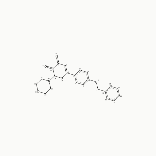 O=C1C=C(c2ccc(OCc3ccccn3)cc2)OC(N2CCOCC2)C1=O